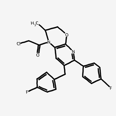 CC1COc2nc(-c3ccc(F)cc3)c(Cc3ccc(F)cc3)cc2N1C(=O)CCl